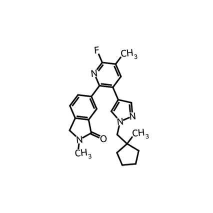 Cc1cc(-c2cnn(CC3(C)CCCC3)c2)c(-c2ccc3c(c2)C(=O)N(C)C3)nc1F